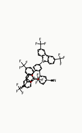 N#Cc1ccc(-n2c3ccc(C(F)(F)F)cc3c3cc(C(F)(F)F)ccc32)c(-c2cc(-n3c4ccc(C(F)(F)F)cc4c4cc(C(F)(F)F)ccc43)ccc2-c2ccc(C#N)cc2C(F)(F)F)c1